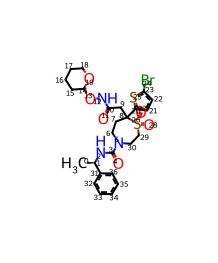 C[C@@H](NC(=O)N1CCC(CC(=O)NOC2CCCCO2)(c2ccc(Br)s2)S(=O)(=O)CC1)c1ccccc1